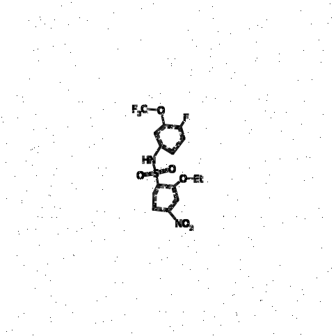 CCOc1cc([N+](=O)[O-])ccc1S(=O)(=O)Nc1ccc(F)c(OC(F)(F)F)c1